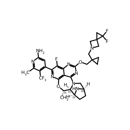 Cc1nc(N)cc(-c2nc3c4c(nc(OCC5(CN6CC7(C6)CC7(F)F)CC5)nc4c2F)N2C[C@H]4CC[C@H](N4)[C@H]2[C@H](C)O3)c1C(F)(F)F